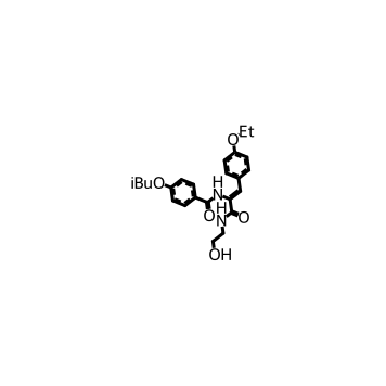 CCOc1ccc(/C=C(\NC(=O)c2ccc(OCC(C)C)cc2)C(=O)NCCO)cc1